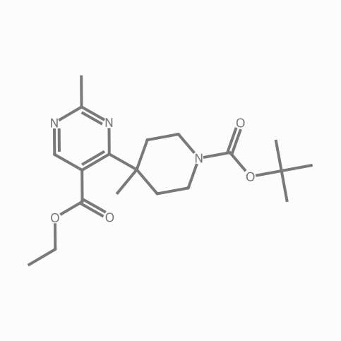 CCOC(=O)c1cnc(C)nc1C1(C)CCN(C(=O)OC(C)(C)C)CC1